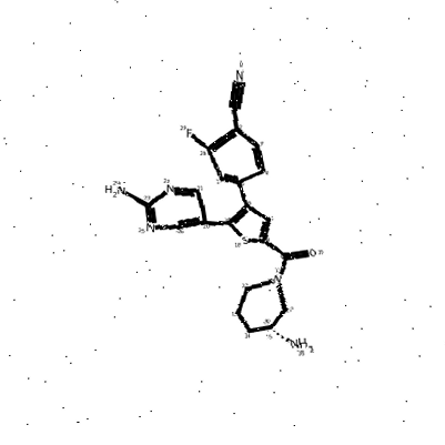 N#Cc1ccc(-c2cc(C(=O)N3CCC[C@@H](N)C3)sc2-c2cnc(N)nc2)cc1F